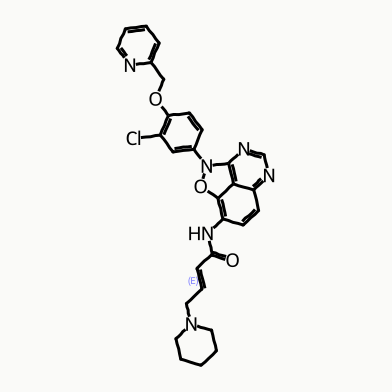 O=C(/C=C/CN1CCCCC1)Nc1ccc2ncnc3c2c1ON3c1ccc(OCc2ccccn2)c(Cl)c1